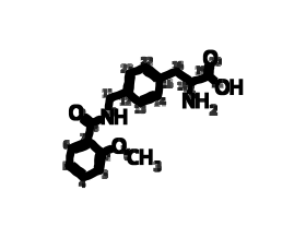 COc1ccccc1C(=O)NCc1ccc(C[C@H](N)C(=O)O)cc1